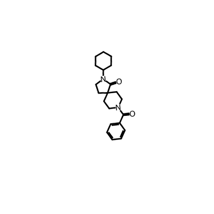 O=C(c1ccccc1)N1CCC2(CC1)CCN(C1CCCCC1)C2=O